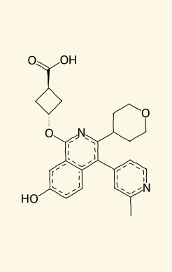 Cc1cc(-c2c(C3CCOCC3)nc(O[C@H]3C[C@H](C(=O)O)C3)c3cc(O)ccc23)ccn1